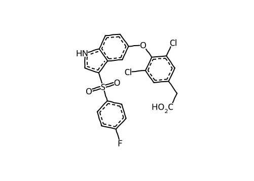 O=C(O)Cc1cc(Cl)c(Oc2ccc3[nH]cc(S(=O)(=O)c4ccc(F)cc4)c3c2)c(Cl)c1